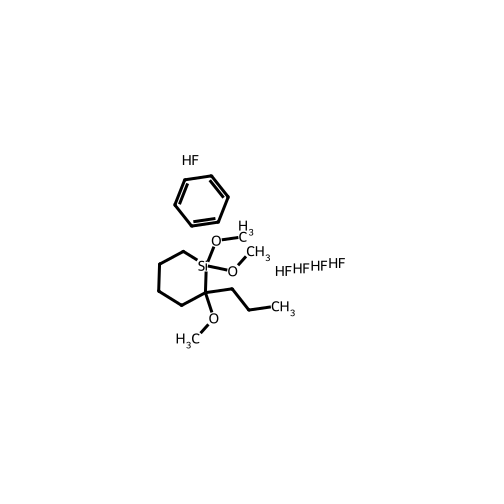 CCCC1(OC)CCCC[Si]1(OC)OC.F.F.F.F.F.c1ccccc1